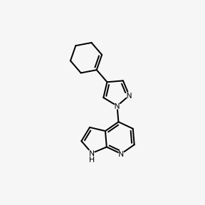 C1=C(c2cnn(-c3ccnc4[nH]ccc34)c2)CCCC1